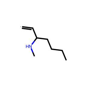 [CH]=CC(CCCC)NC